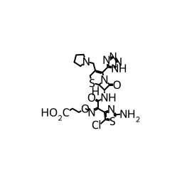 Nc1nc(/C(=N/OCCC(=O)O)C(=O)N[C@@H]2C(=O)N3C(c4nnn[nH]4)=C(CN4CCCC4)CS[C@H]23)c(Cl)s1